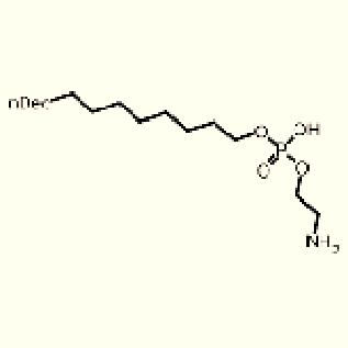 CCCCCCCCCCCCCCCCCCOP(=O)(O)OCCN